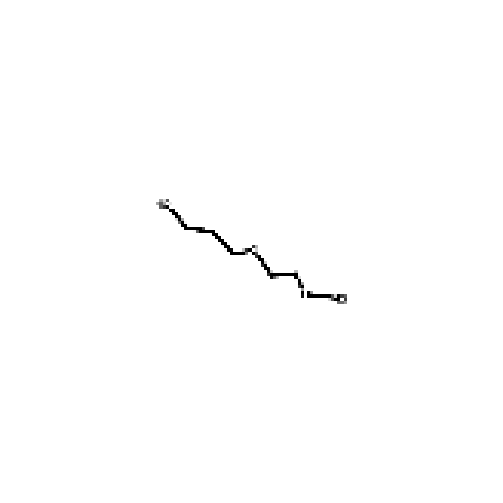 CCOCCOCCCO